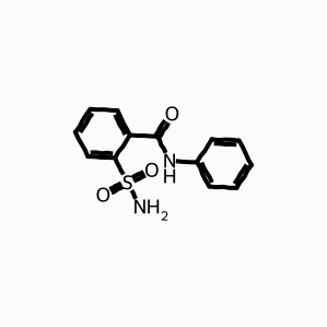 NS(=O)(=O)c1ccccc1C(=O)Nc1ccccc1